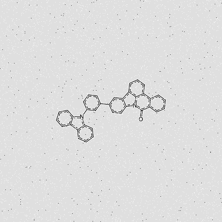 O=c1c2ccccc2c2cccc3c4cc(-c5cccc(-n6c7ccccc7c7ccccc76)c5)ccc4n1c23